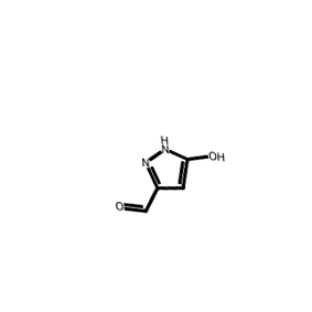 O=Cc1cc(O)[nH]n1